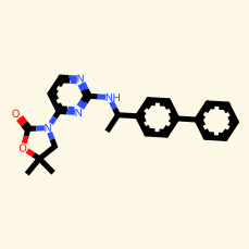 CC(Nc1nccc(N2CC(C)(C)OC2=O)n1)c1ccc(-c2ccccc2)cc1